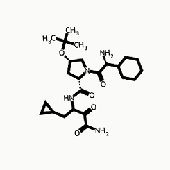 CC(C)(C)O[C@@H]1C[C@@H](C(=O)NC(CC2CC2)C(=O)C(N)=O)N(C(=O)[C@@H](N)C2CCCCC2)C1